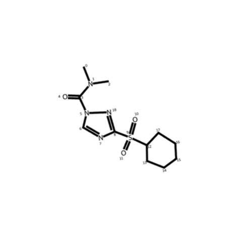 CN(C)C(=O)n1cnc(S(=O)(=O)C2CCCCC2)n1